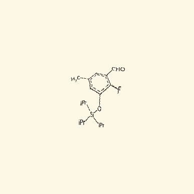 Cc1cc(C=O)c(F)c(O[Si](C(C)C)(C(C)C)C(C)C)c1